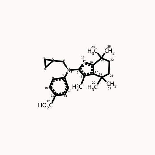 Cc1c(N(CC2CC2)c2ccc(C(=O)O)cc2)sc2c1C(C)(C)CCC2(C)C